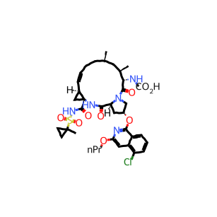 CCCOc1cc2c(Cl)cccc2c(O[C@@H]2C[C@H]3C(=O)N[C@]4(C(=O)NS(=O)(=O)C5(C)CC5)C[C@H]4/C=C\CC[C@@H](C)C[C@@H](C)[C@H](NC(=O)O)C(=O)N3C2)n1